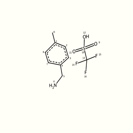 Cc1ccc(CN)cc1.O=S(=O)(O)C(F)(F)F